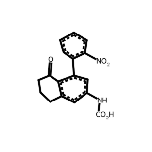 O=C(O)Nc1cc2c(c(-c3ccccc3[N+](=O)[O-])c1)C(=O)CCC2